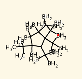 BC(B)C1(B)C(B)(B)C(B)(C(B)(C)C)C(C(B)(B)B)C1(C(B)(B)B)C(B)(B)B